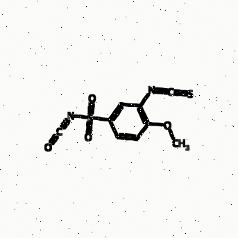 COc1ccc(S(=O)(=O)N=C=O)cc1N=C=S